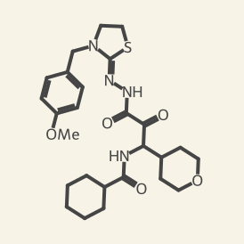 COc1ccc(CN2CCS/C2=N\NC(=O)C(=O)C(NC(=O)C2CCCCC2)C2CCOCC2)cc1